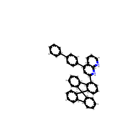 c1ccc(-c2ccc(-c3cc(-c4cccc5c4-c4ccccc4C54c5ccccc5-c5ccccc54)nc4ncccc34)cc2)cc1